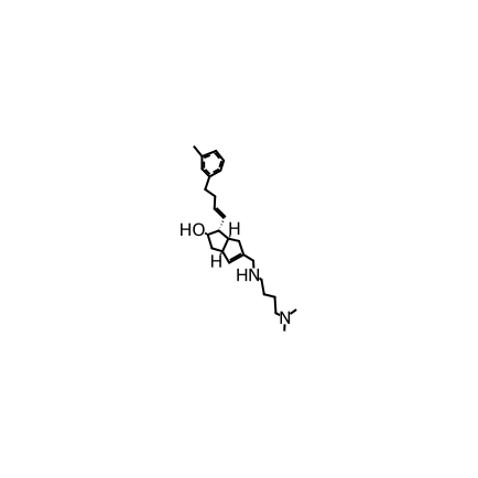 Cc1cccc(CC/C=C/[C@@H]2[C@H]3CC(CNCCCCN(C)C)=C[C@H]3C[C@H]2O)c1